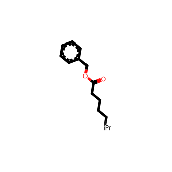 CC(C)CCCCC(=O)OCc1ccccc1